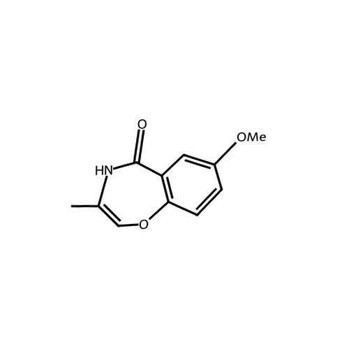 COc1ccc2c(c1)C(=O)NC(C)=CO2